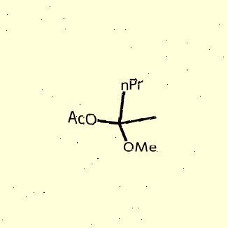 CCCC(C)(OC)OC(C)=O